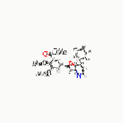 COC(=O)c1cc(-c2cc3nccc(-c4ccccc4)c3o2)cc(OC)c1OC